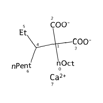 CCCCCCCCC(C(=O)[O-])(C(=O)[O-])C(CC)CCCCC.[Ca+2]